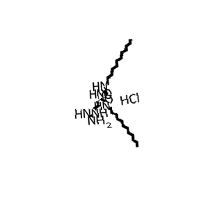 CCCCCCCCCCCCNC(=O)N[C@@H](CCCNC(=N)N)C(=O)NCCCCCCCCCCCC.Cl